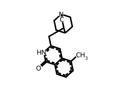 Cc1cccc2c(=O)[nH]c(CC3CN4CCC3CC4)cc12